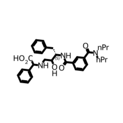 CCCN(CCC)C(=O)c1cccc(C(=O)N[C@@H](Cc2ccccc2)C(O)CNC(C(=O)O)c2ccccc2)c1